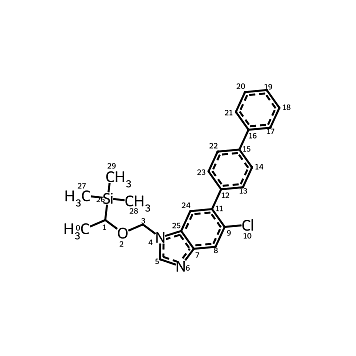 CC(OCn1cnc2cc(Cl)c(-c3ccc(-c4ccccc4)cc3)cc21)[Si](C)(C)C